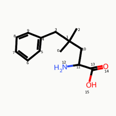 CC(C)(Cc1ccccc1)CC(N)C(=O)O